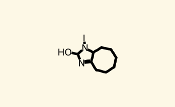 OC1N=C2CCCCCCC2N1I